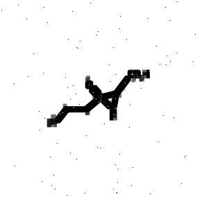 CC(C)CCP1(=O)NC1C(=O)O